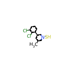 Cc1cc(-c2cccc(Cl)c2Cl)c[n+](S)c1